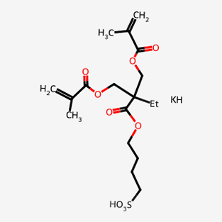 C=C(C)C(=O)OCC(CC)(COC(=O)C(=C)C)C(=O)OCCCCS(=O)(=O)O.[KH]